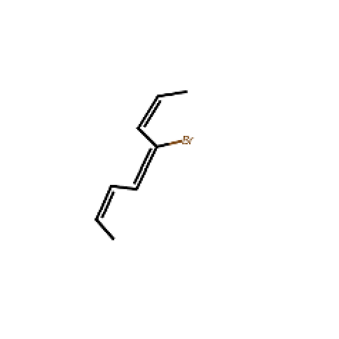 C\C=C/C=C(Br)\C=C/C